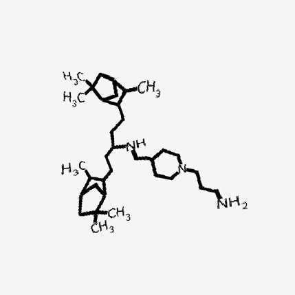 CC1C2CC(C1CCC(CCC1C(C)C3CC1C(C)(C)C3)NCC1CCN(CCCN)CC1)C(C)(C)C2